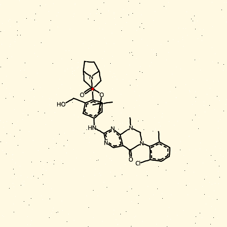 Cc1cccc(Cl)c1N1CN(C)c2nc(Nc3ccc(N4CC5CCC(C4)N5C(=O)OC(C)(C)C)c(CO)c3)ncc2C1=O